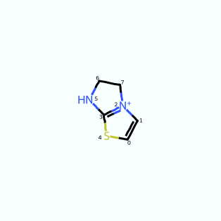 c1c[n+]2c(s1)NCC2